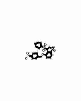 O=[N+]([O-])c1ccc(COc2cccc3c2C(S(=O)(=O)c2ccccc2)CS3(=O)=O)cc1